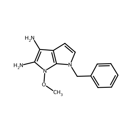 COn1c(N)c(N)c2ccn(Cc3ccccc3)c21